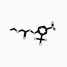 CCOCC(=O)SSc1ccc([N+](=O)[O-])cc1C(Cl)(Cl)Cl